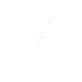 CC(C)CC(F)(F)CC1(C)CC1